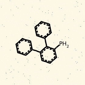 Pc1[c]ccc(-c2ccccc2)c1-c1ccccc1